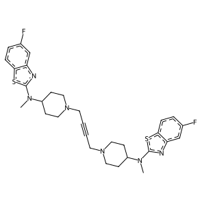 CN(c1nc2cc(F)ccc2s1)C1CCN(CC#CCN2CCC(N(C)c3nc4cc(F)ccc4s3)CC2)CC1